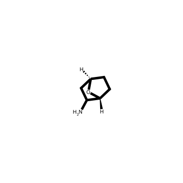 NC1C[C@H]2CC[C@H]1O2